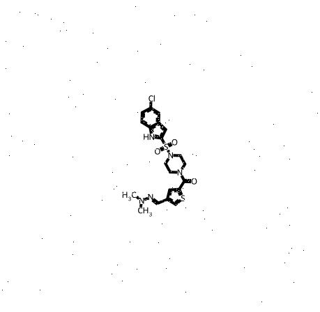 CN(C)N=Cc1csc(C(=O)N2CCN(S(=O)(=O)c3cc4cc(Cl)ccc4[nH]3)CC2)c1